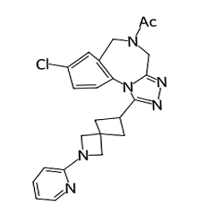 CC(=O)N1Cc2cc(Cl)ccc2-n2c(nnc2C2CC3(C2)CN(c2ccccn2)C3)C1